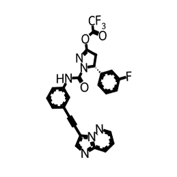 O=C(Nc1cccc(C#Cc2cnc3cccnn23)c1)N1N=C(OC(=O)C(F)(F)F)C[C@@H]1c1cccc(F)c1